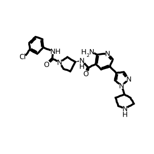 Nc1ncc(-c2cnn(C3CCNCC3)c2)cc1C(=O)N[C@@H]1CCN(C(=O)Nc2cccc(Cl)c2)C1